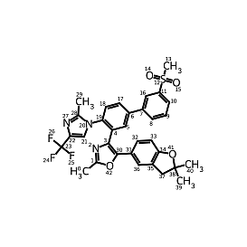 Cc1nc(-c2cc(-c3cccc(S(C)(=O)=O)c3)ccc2-n2cc(C(F)(F)F)nc2C)c(-c2ccc3c(c2)CC(C)(C)O3)o1